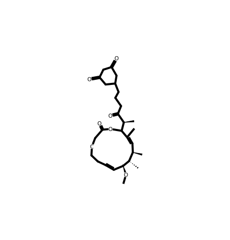 CO[C@H]1/C=C/CCCCC(=O)OC([C@H](C)C(=O)CCCC2CC(=O)CC(=O)C2)/C(C)=C\[C@@H](C)[C@@H]1C